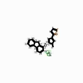 CC1C=C(c2cccs2)C=[C]1[Zr+2][c]1cccc2c1Cc1ccccc1-2.[Cl-].[Cl-]